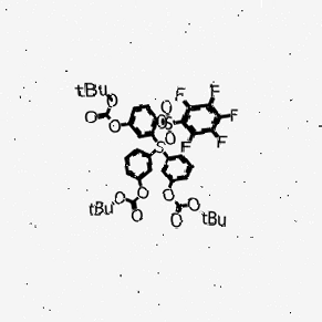 CC(C)(C)OC(=O)Oc1cccc(S(OS(=O)(=O)c2c(F)c(F)c(F)c(F)c2F)(c2cccc(OC(=O)OC(C)(C)C)c2)c2cccc(OC(=O)OC(C)(C)C)c2)c1